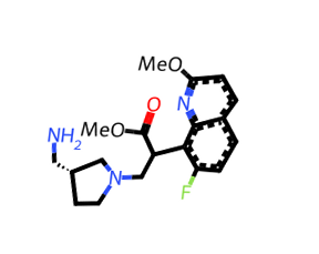 COC(=O)C(CN1CC[C@H](CN)C1)c1c(F)ccc2ccc(OC)nc12